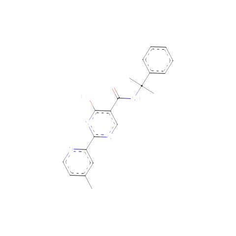 Cc1ccnc(-c2ncc(C(=O)NC(C)(C)c3ccccc3)c(O)n2)c1